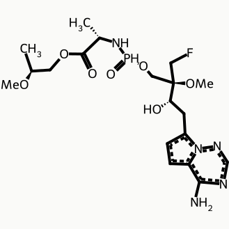 CO[C@@H](C)COC(=O)[C@H](C)N[PH](=O)OC[C@@](CF)(OC)[C@@H](O)Cc1ccc2c(N)ncnn12